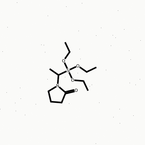 CCO[Si](OCC)(OCC)C(C)N1CCCC1=O